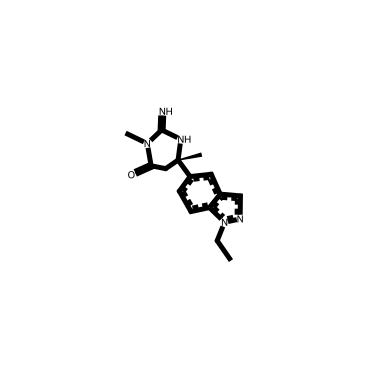 CCn1ncc2cc([C@]3(C)CC(=O)N(C)C(=N)N3)ccc21